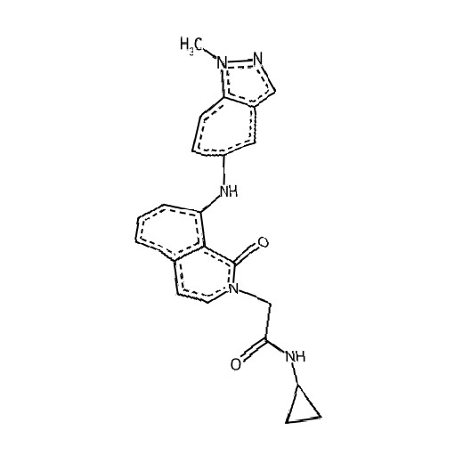 Cn1ncc2cc(Nc3cccc4ccn(CC(=O)NC5CC5)c(=O)c34)ccc21